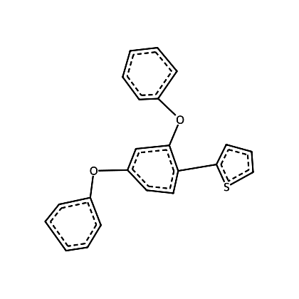 c1ccc(Oc2ccc(-c3cccs3)c(Oc3ccccc3)c2)cc1